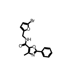 Cc1nc(-c2ccccc2)oc1C(=O)NCc1ccc(Br)o1